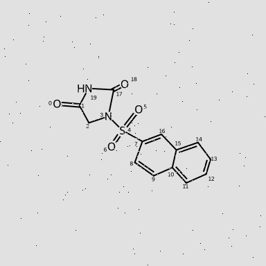 O=C1CN(S(=O)(=O)c2ccc3ccccc3c2)C(=O)N1